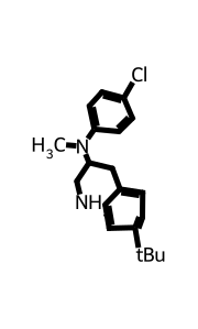 CN(c1ccc(Cl)cc1)C(CN)Cc1ccc(C(C)(C)C)cc1